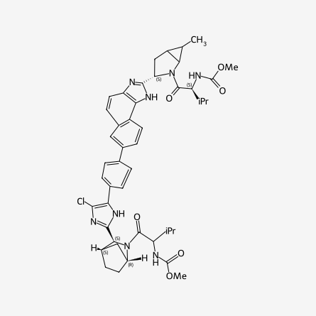 COC(=O)NC(C(=O)N1[C@@H]2CC[C@@H](C2)[C@H]1c1nc(Cl)c(-c2ccc(-c3ccc4c(ccc5nc([C@@H]6CC7C(C)C7N6C(=O)[C@@H](NC(=O)OC)C(C)C)[nH]c54)c3)cc2)[nH]1)C(C)C